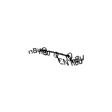 CCCCC(CCCC)CCOC(=O)CCCCCCCCCC(CCCCCCCCCC(=O)OCCC(CCCC)CCCC)OCCCCC#N